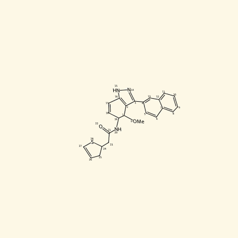 COC1c2c(-c3ccc4ccccc4c3)n[nH]c2C=CC1NC(=O)CC1CC=CS1